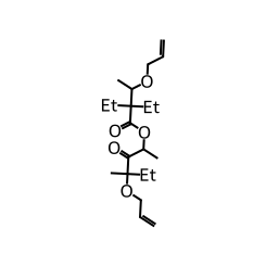 C=CCOC(C)C(CC)(CC)C(=O)OC(C)C(=O)C(C)(CC)OCC=C